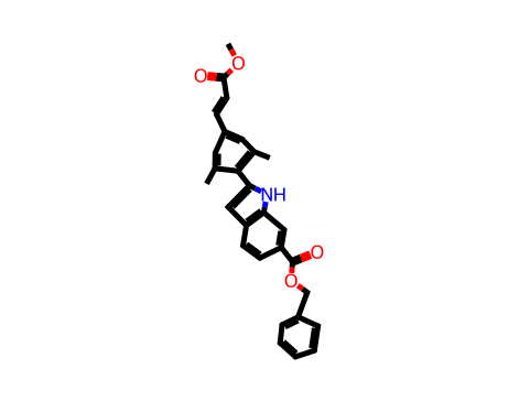 COC(=O)C=Cc1cc(C)c(-c2cc3ccc(C(=O)OCc4ccccc4)cc3[nH]2)c(C)c1